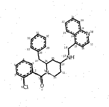 O=C(c1ccccc1Cl)N1CCC(NCc2ccnc3ccccc23)CC1Cc1ccccc1